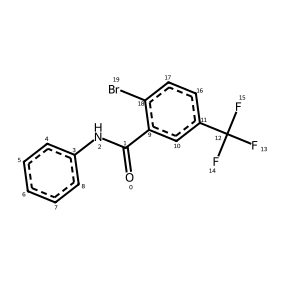 O=C(Nc1ccccc1)c1cc(C(F)(F)F)ccc1Br